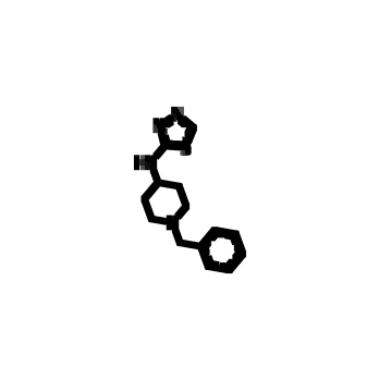 c1ccc(CN2CCC(Nc3nncs3)CC2)cc1